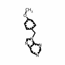 COc1ccc(Cn2cnc3cncnc32)cc1